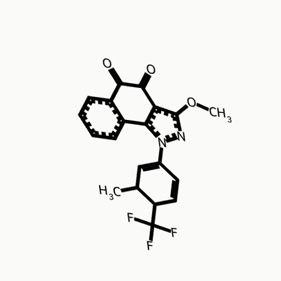 COc1nn(C2=CC(C)C(C(F)(F)F)C=C2)c2c1C(=O)C(=O)c1ccccc1-2